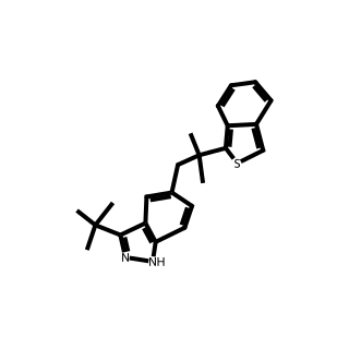 CC(C)(C)c1n[nH]c2ccc(CC(C)(C)c3scc4ccccc34)cc12